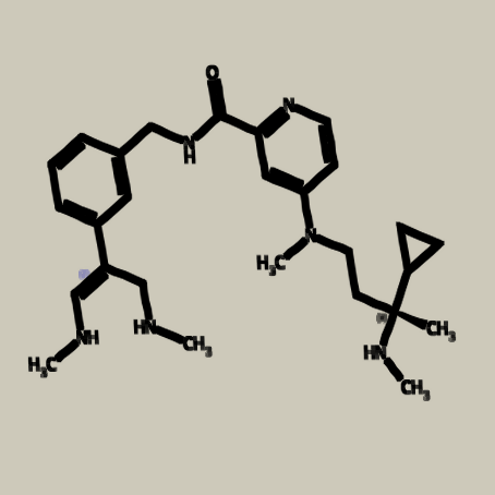 CN/C=C(\CNC)c1cccc(CNC(=O)c2cc(N(C)CC[C@@](C)(NC)C3CC3)ccn2)c1